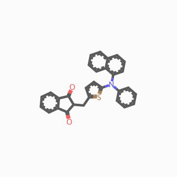 O=C1c2ccccc2C(=O)C1Cc1ccc(N(c2ccccc2)c2cccc3ccccc23)s1